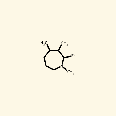 CCC1C(C)C(C)CCCN1C